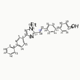 CCn1cc(-c2ccc(-c3ccccc3)cc2)nc1/C=C/c1ccc(-c2ccc(O)cc2)cc1